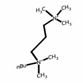 CCCC[N+](C)(C)CCC[N+](C)(C)C